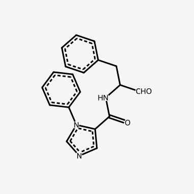 O=CC(Cc1ccccc1)NC(=O)c1cncn1-c1ccccc1